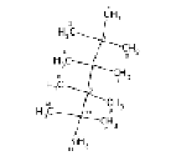 CC(C)(C)C(C)(C)C(C)(C)C(C)(C)[SiH3]